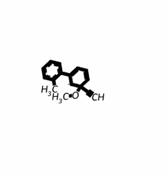 C#CC1(OC)[CH]C(c2ccccc2C)=CC=C1